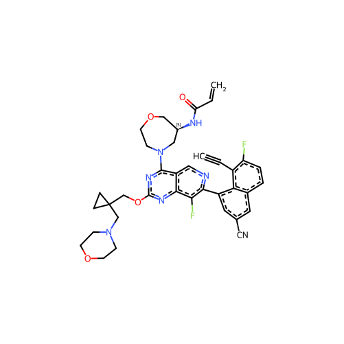 C#Cc1c(F)ccc2cc(C#N)cc(-c3ncc4c(N5CCOC[C@@H](NC(=O)C=C)C5)nc(OCC5(CN6CCOCC6)CC5)nc4c3F)c12